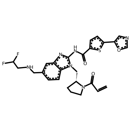 C=CC(=O)N1CCC[C@@H]1Cn1c(NC(=O)c2ccc(-c3cnco3)s2)nc2cc(CNCC(F)F)ccc21